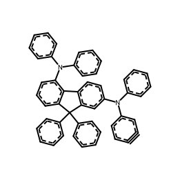 c1ccc(N(c2ccccc2)c2ccc3c(c2)C(c2ccccc2)(c2ccccc2)c2cccc(N(c4ccccc4)c4ccccc4)c2-3)cc#1